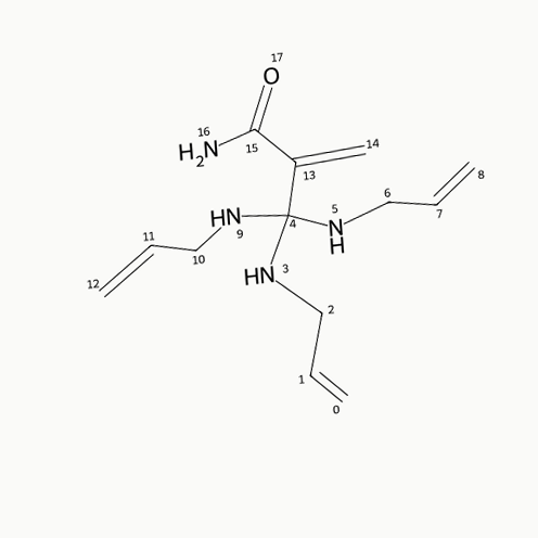 C=CCNC(NCC=C)(NCC=C)C(=C)C(N)=O